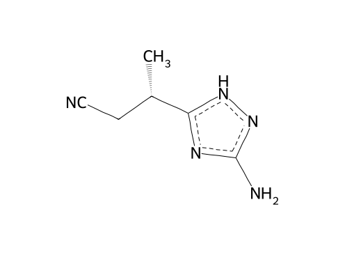 C[C@@H](CC#N)c1nc(N)n[nH]1